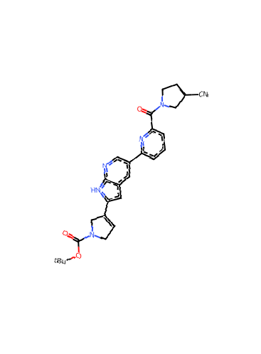 CC(C)(C)OC(=O)N1CC=C(c2cc3cc(-c4cccc(C(=O)N5CCC(C#N)C5)n4)cnc3[nH]2)C1